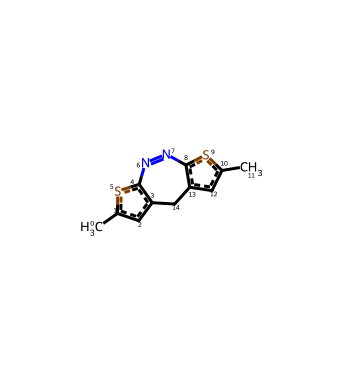 Cc1cc2c(s1)N=Nc1sc(C)cc1C2